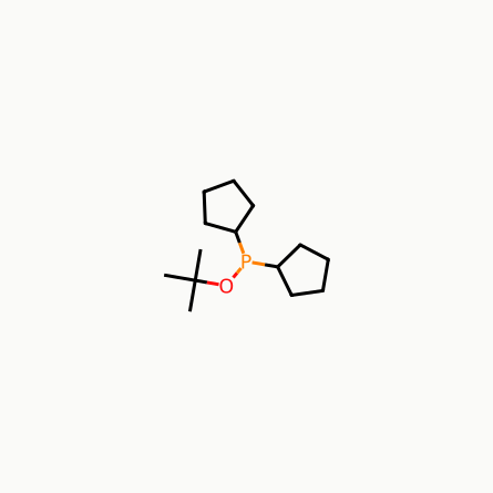 CC(C)(C)OP(C1CCCC1)C1CCCC1